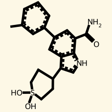 Cc1cccc(-c2cc(C(N)=O)c3[nH]cc(C4CCS(O)(O)CC4)c3c2)c1